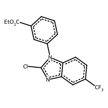 CCOC(=O)c1cccc(-n2c(Cl)nc3cc(C(F)(F)F)ccc32)c1